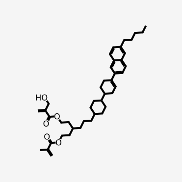 C=C(C)C(=O)OCCC(CCCC1CCC(C2CC=C(c3ccc4cc(CCCCC)ccc4c3)CC2)CC1)CCOC(=O)C(=C)CO